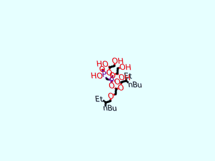 CCCCC(CC)COCC(OCC(CC)CCCC)OP(=O)(CP(=O)(O)OC(O)CO)OC(O)CO